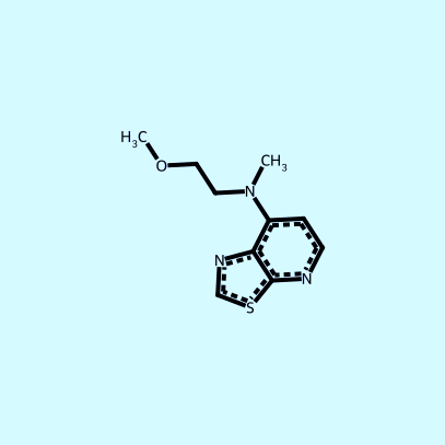 COCCN(C)c1ccnc2scnc12